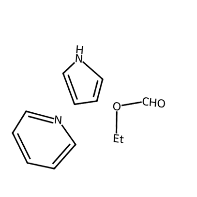 CCOC=O.c1cc[nH]c1.c1ccncc1